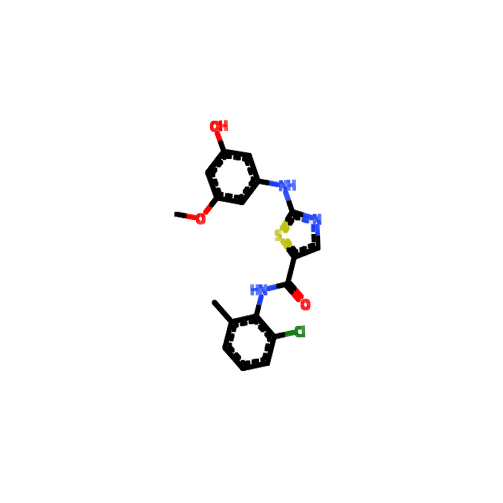 COc1cc(O)cc(Nc2ncc(C(=O)Nc3c(C)cccc3Cl)s2)c1